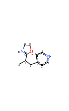 [CH2]C(Cc1ccncc1)C1=NCCO1